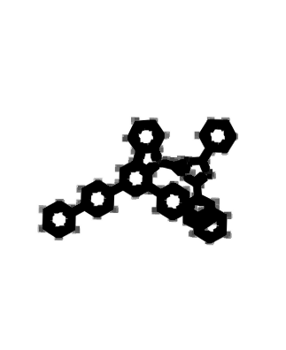 c1ccc(C2=NC(c3ccccc3)N3C(n4c5ccccc5c5cc(-c6ccc(-c7ccccc7)cc6)cc(-c6ccc(-c7ccccc7)cc6)c54)N23)cc1